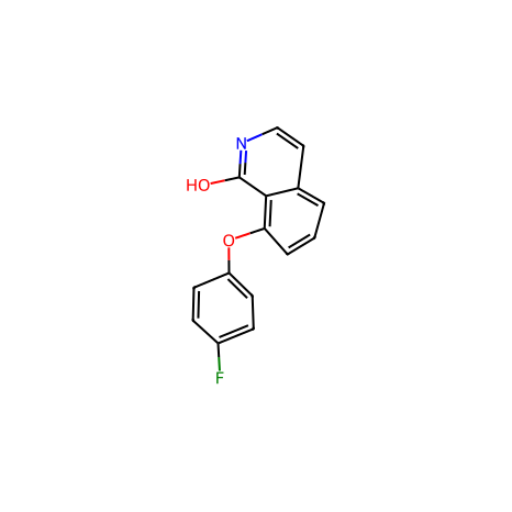 Oc1nccc2cccc(Oc3ccc(F)cc3)c12